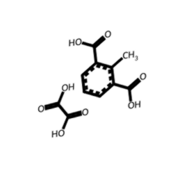 Cc1c(C(=O)O)cccc1C(=O)O.O=C(O)C(=O)O